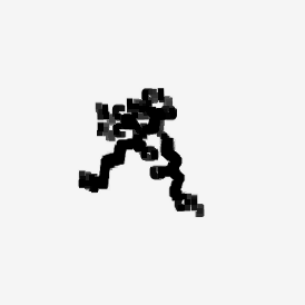 CCCC(=O)CCC[C@@H](C(=O)NC)N(C(=O)CCCCS)C(C)(C)C